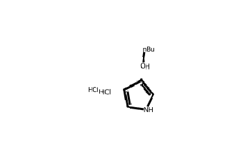 CCCCO.Cl.Cl.c1cc[nH]c1